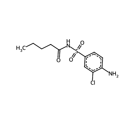 CCCCC(=O)NS(=O)(=O)c1ccc(N)c(Cl)c1